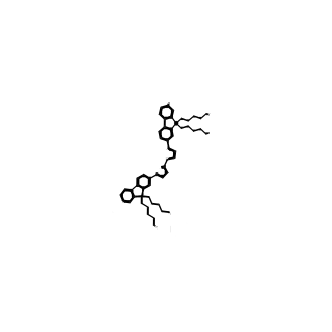 CCCCCCC1(CCCCCC)c2cc(C)ccc2-c2ccc(-c3ccc(-c4ccc(-c5ccc6c(c5)C(CCCCCC)(CCCCCC)c5cc(C)ccc5-6)s4)s3)cc21